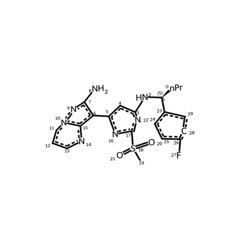 CCC[C@H](Nc1cc(-c2c(N)nn3cccnc23)nc(S(C)(=O)=O)n1)c1ccc(F)cc1